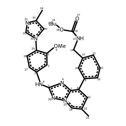 COc1cc(Nc2nc3c(-c4cccc(CNC(=O)OC(C)(C)C)c4)cc(C)cn3n2)ccc1-n1cnc(C)c1